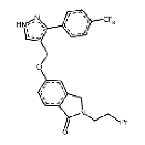 CC(C)CCN1Cc2cc(OCc3c[nH]nc3-c3ccc(C(F)(F)F)cc3)ccc2C1=O